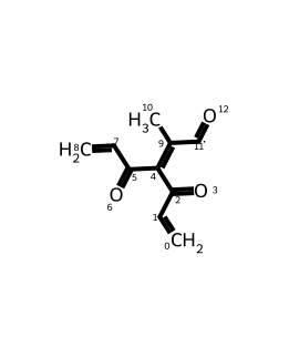 C=CC(=O)C(C(=O)C=C)=C(C)[C]=O